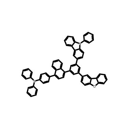 c1ccc(N(c2ccccc2)c2ccc(-c3ccc(-c4cc(-c5ccc6oc7ccccc7c6c5)cc(-c5ccc6c(c5)c5ccccc5n6-c5ccccc5)c4)c4ccccc34)cc2)cc1